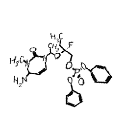 CC[C@@](F)(COP(=O)(Oc1ccccc1)Oc1ccccc1)OC(C)N1C=CC(N)N(C)C1=O